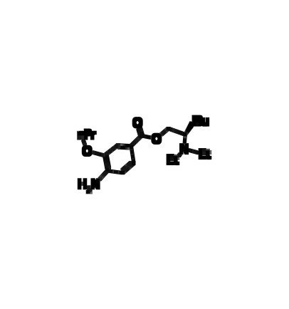 CCCOc1cc(C(=O)OC[C@@H](C(C)CC)N(CC)CC)ccc1N